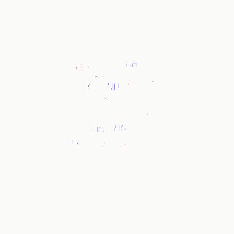 CCNC(=O)c1ccccc1-c1ccc(CNC(=O)[C@@H](Cc2c[nH]c3ccccc23)NC(=O)CC(C)(C)NC[C@@H](C)O)cc1